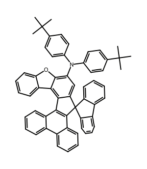 CC(C)(C)c1ccc(N(c2ccc(C(C)(C)C)cc2)c2cc3c(c4c2oc2ccccc24)-c2c(c4ccccc4c4ccccc24)C32c3ccccc3-c3ccccc32)cc1